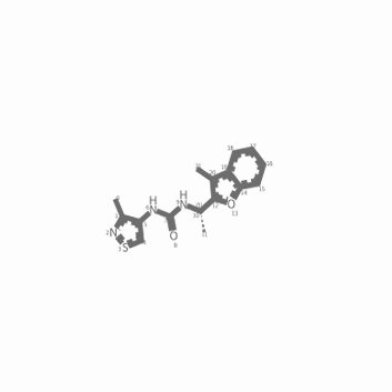 Cc1nscc1NC(=O)N[C@@H](C)c1oc2ccccc2c1C